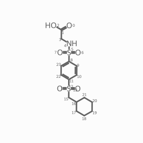 O=C(O)CNS(=O)(=O)c1ccc(S(=O)(=O)CC2CCCCC2)cc1